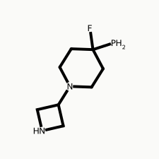 FC1(P)CCN(C2CNC2)CC1